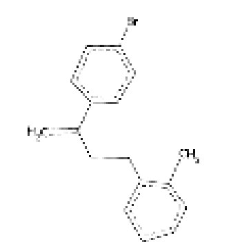 C=C(CCc1ccccc1C)c1ccc(Br)cc1